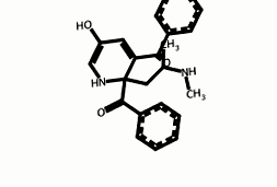 CNC(C)CC1(C(=O)c2ccccc2)NC=C(O)C=C1C(=O)c1ccccc1